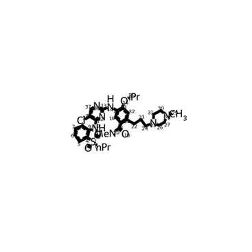 CCCS(=O)(=O)c1ccccc1Nc1nc(Nc2cc(C(=O)NC)c(CCCN3CCN(C)CC3)cc2OC(C)C)ncc1Cl